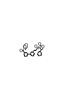 O=C(c1cccc(-c2cccc(C=CC(=O)N3C(=O)OCC3c3ccccc3)c2)c1)N1CCOCC1